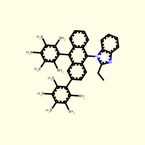 Bc1c(B)c(B)c(-c2ccc3c(-n4c(CC)nc5ccccc54)c4ccccc4c(-c4c(B)c(B)c(B)c(B)c4B)c3c2)c(B)c1B